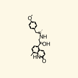 COc1ccc(C[C@H](C)NC[C@H](O)c2ccc(C)c3[nH]c(=O)ccc23)cc1